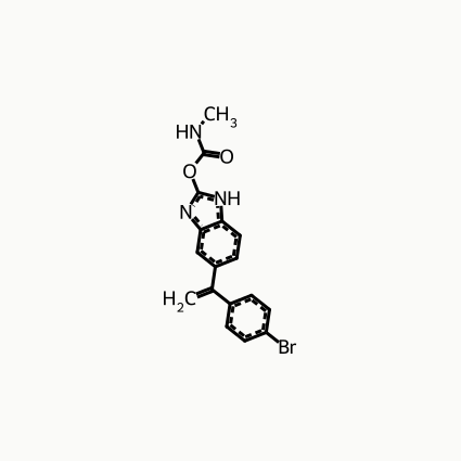 C=C(c1ccc(Br)cc1)c1ccc2[nH]c(OC(=O)NC)nc2c1